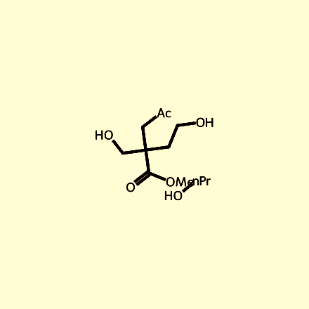 CCCO.COC(=O)C(CO)(CCO)CC(C)=O